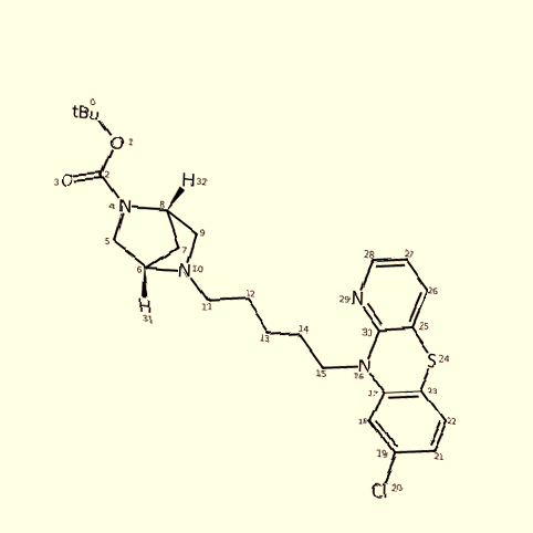 CC(C)(C)OC(=O)N1C[C@@H]2C[C@H]1CN2CCCCCN1c2cc(Cl)ccc2Sc2cccnc21